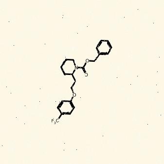 O=C(OCc1ccccc1)N1CCCCC1CCOc1ccc(C(F)(F)F)cc1